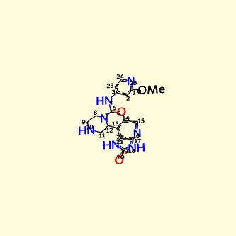 COc1cc(NC(=O)N2CCNCC2c2ccnc3[nH]c(=O)[nH]c23)ccn1